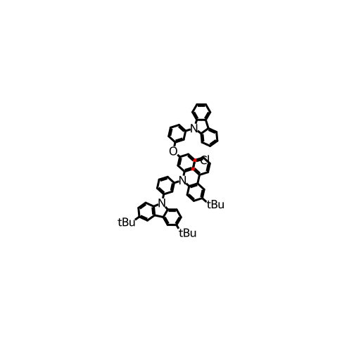 CC(C)(C)c1ccc(N(c2cc(Cl)cc(Oc3cccc(-n4c5ccccc5c5ccccc54)c3)c2)c2cccc(-n3c4ccc(C(C)(C)C)cc4c4cc(C(C)(C)C)ccc43)c2)c(-c2ccccc2)c1